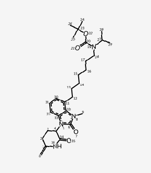 C=C1CCC(n2c(=O)n(C)c3c(CCCCCCCN(C(=O)OC(C)(C)C)C(C)C)cccc32)C(=O)N1